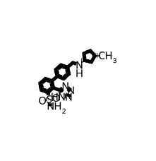 C[C@H]1CC[C@@H](NCc2ccc(-c3cccc(S(N)(=O)=O)c3-c3nnn[nH]3)cc2)C1